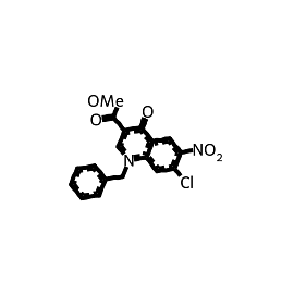 COC(=O)c1cn(Cc2ccccc2)c2cc(Cl)c([N+](=O)[O-])cc2c1=O